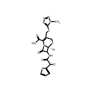 Cn1nnnc1SCC1=C(C(=O)O)N2C(=O)C(NC(=O)C(Cl)c3cccs3)[C@@H]2SC1